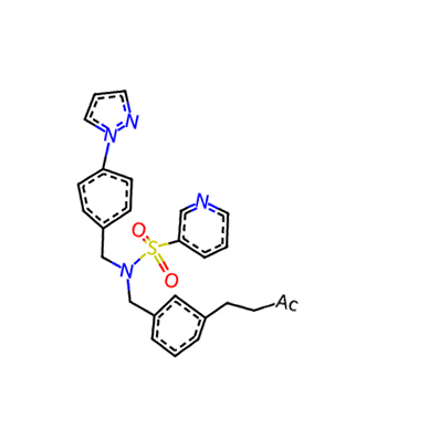 CC(=O)CCc1cccc(CN(Cc2ccc(-n3cccn3)cc2)S(=O)(=O)c2cccnc2)c1